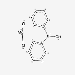 OB(c1ccccc1)c1ccccc1.[Cl][Mg][Cl]